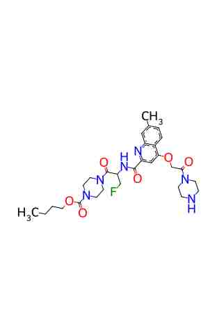 CCCCOC(=O)N1CCN(C(=O)C(CF)NC(=O)c2cc(OCC(=O)N3CCNCC3)c3ccc(C)cc3n2)CC1